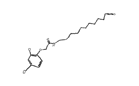 O=CCCCCCCCCCCNC(=O)COc1ccc(Cl)cc1Cl